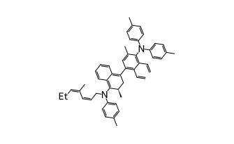 C=Cc1c(C2=c3ccccc3=C(N(C/C=C\C(C)=C/CC)c3ccc(C)cc3)[C@H](C)C2)cc(C)c(N(c2ccc(C)cc2)c2ccc(C)cc2)c1C=C